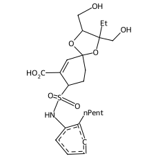 CCCCCc1ccccc1NS(=O)(=O)C1CCC2(C=C1C(=O)O)OC(CO)C(CC)(CO)O2